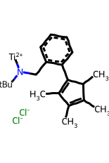 CC1=C(C)C(C)C(c2ccccc2C[N]([Ti+2])C(C)(C)C)=C1C.[Cl-].[Cl-]